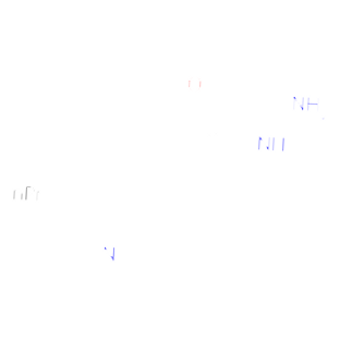 CCCc1cc(C(=O)NN)ccn1